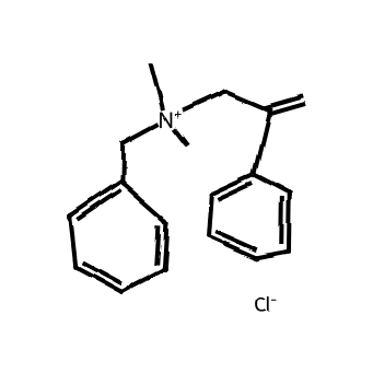 C=C(C[N+](C)(C)Cc1ccccc1)c1ccccc1.[Cl-]